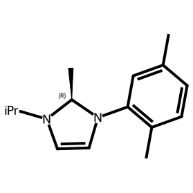 Cc1ccc(C)c(N2C=CN(C(C)C)[C@H]2C)c1